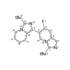 CC(C)(C)c1ncc2cc(F)c(-c3nc(C(C)(C)C)n4ccccc34)cn12